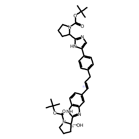 CC(C)(C)OC(=O)N1CCCC1c1ncc(-c2ccc(C/C=C/c3ccc4[nH]c([C@@]5(O)CCCN5C(=O)OC(C)(C)C)nc4c3)cc2)[nH]1